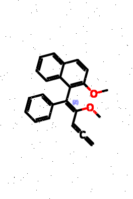 C=C=C/C(OC)=C(\c1ccccc1)c1c(OC)ccc2ccccc12